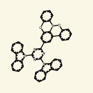 c1ccc2c(c1)Oc1cc(-c3nc(-n4c5ccccc5c5ccccc54)nc(-n4c5ccccc5c5ccccc54)n3)cc3c1B2Oc1ccccc1-3